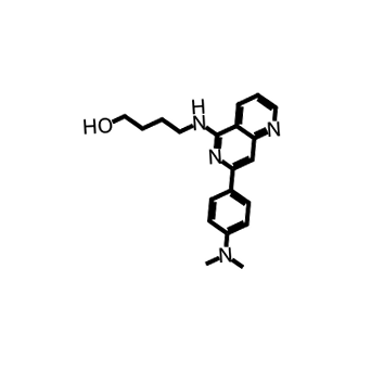 CN(C)c1ccc(-c2cc3ncccc3c(NCCCCO)n2)cc1